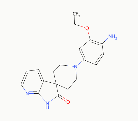 Nc1ccc(N2CCC3(CC2)C(=O)Nc2ncccc23)cc1OCC(F)(F)F